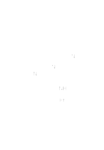 CCNc1cccnc1N1C=CC=NC=C1